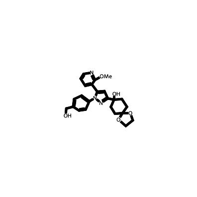 COc1ncccc1-c1cc(C2(O)CCC3(CC2)OCCO3)nn1-c1ccc(CO)cc1